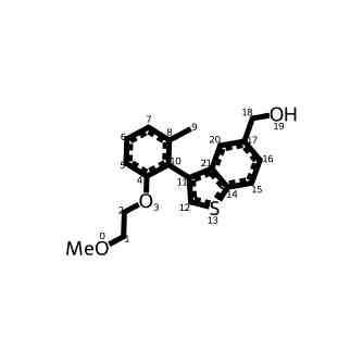 COCCOc1cccc(C)c1-c1csc2ccc(CO)cc12